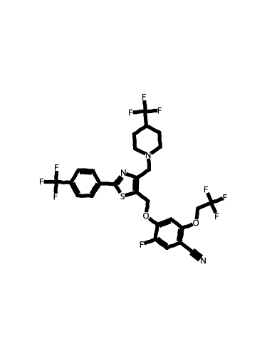 N#Cc1cc(F)c(OCc2sc(-c3ccc(C(F)(F)F)cc3)nc2CN2CCC(C(F)(F)F)CC2)cc1OCC(F)(F)F